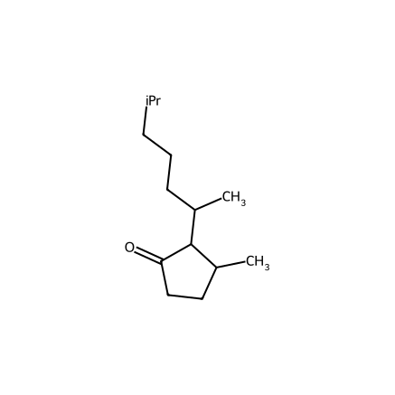 CC(C)CCCC(C)C1C(=O)CCC1C